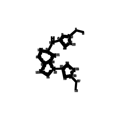 CCn1cc(Nc2ncc3ncn(-c4cnn(CC)c4)c3n2)cn1